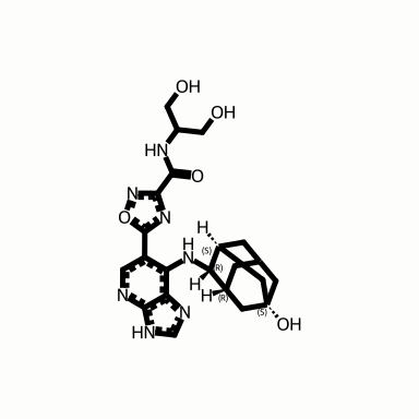 O=C(NC(CO)CO)c1noc(-c2cnc3[nH]cnc3c2N[C@H]2[C@@H]3CC4C[C@H]2C[C@@](O)(C4)C3)n1